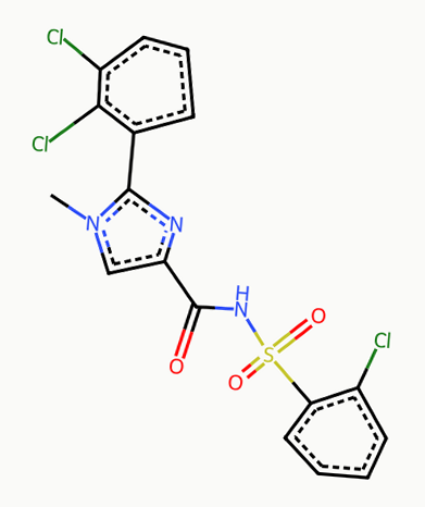 Cn1cc(C(=O)NS(=O)(=O)c2ccccc2Cl)nc1-c1cccc(Cl)c1Cl